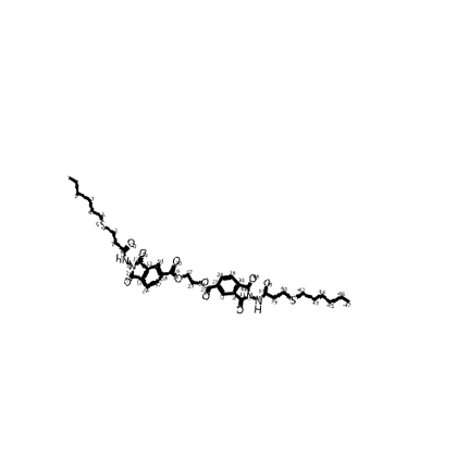 CCCCCCSCCC(=O)NN1C(=O)c2ccc(C(=O)OCCOC(=O)c3ccc4c(c3)C(=O)N(NC(=O)CCSCCCCCC)C4=O)cc2C1=O